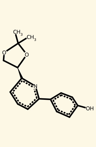 CC1(C)OC[C@H](c2cccc(-c3ccc(O)cc3)n2)O1